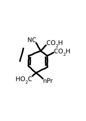 CC.CCCC1(C(=O)O)C=CC(C#N)(C(=O)O)C(C(=O)O)=C1